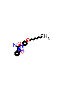 CCCCCCCCOc1ccc(NC(=O)C2(C#N)C3c4ccccc4C(=O)N32)cc1